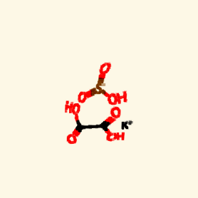 O=C(O)C(=O)O.O=[S-](=O)O.[K+]